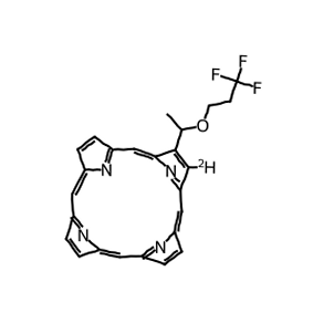 [2H]C1=C(C(C)OCCC(F)(F)F)C2=CC3=NC(=CC4=NC(=CC5=NC(=CC1=N2)C=C5)C=C4)C=C3